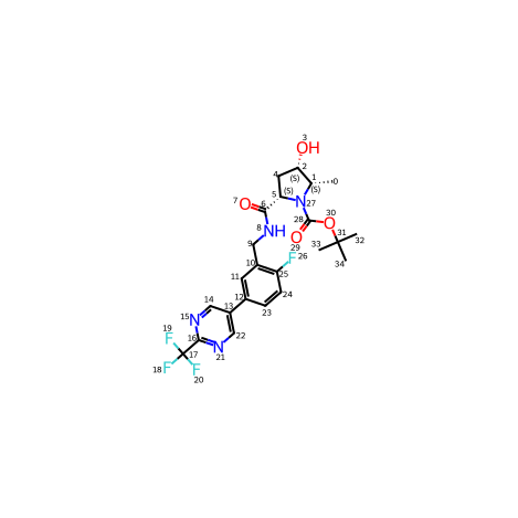 C[C@H]1[C@@H](O)C[C@@H](C(=O)NCc2cc(-c3cnc(C(F)(F)F)nc3)ccc2F)N1C(=O)OC(C)(C)C